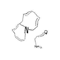 NC=O.c1ccn2cccc2c1